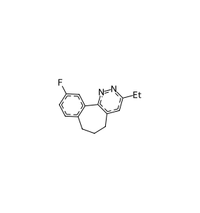 CCc1cc2c(nn1)-c1cc(F)ccc1CCC2